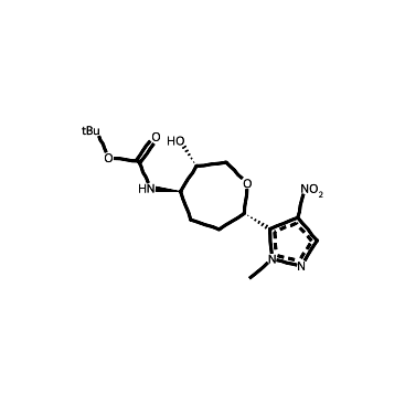 Cn1ncc([N+](=O)[O-])c1[C@@H]1CC[C@@H](NC(=O)OC(C)(C)C)[C@H](O)CO1